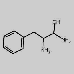 NC(O)C(N)Cc1ccccc1